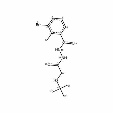 Cc1c(Br)cccc1C(=O)NNC(=O)COC(C)(C)C